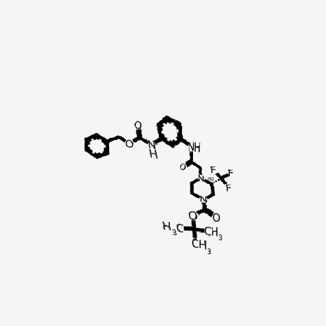 CC(C)(C)OC(=O)N1CCN(CC(=O)Nc2cccc(NC(=O)OCc3ccccc3)c2)[C@H](C(F)(F)F)C1